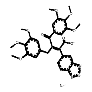 COc1cc(CC(C(=O)c2cc(OC)c(OC)c(OC)c2)=C(C(=O)[O-])c2ccc3nsnc3c2)cc(OC)c1OC.[Na+]